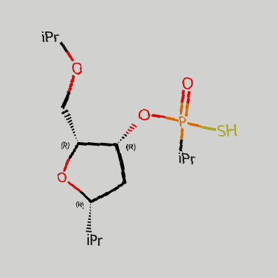 CC(C)OC[C@H]1O[C@@H](C(C)C)C[C@H]1OP(=O)(S)C(C)C